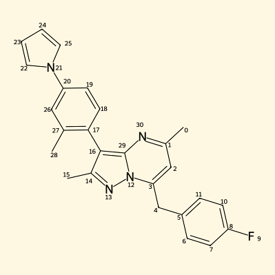 Cc1cc(Cc2ccc(F)cc2)n2nc(C)c(-c3ccc(-n4cccc4)cc3C)c2n1